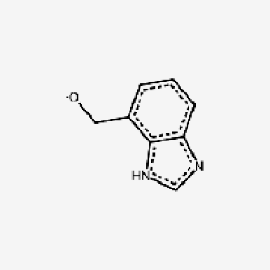 [O]Cc1cccc2nc[nH]c12